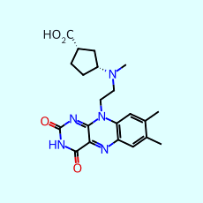 Cc1cc2nc3c(=O)[nH]c(=O)nc-3n(CCN(C)[C@@H]3CC[C@H](C(=O)O)C3)c2cc1C